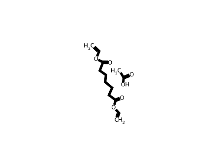 C=COC(=O)CCCCCC(=O)OC=C.CC(=O)O